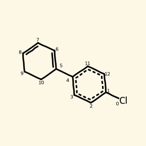 Clc1ccc(C2=CC=CCC2)cc1